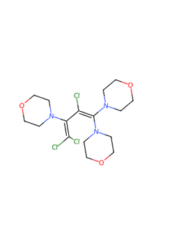 ClC(Cl)=C(C(Cl)=C(N1CCOCC1)N1CCOCC1)N1CCOCC1